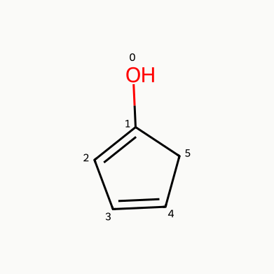 OC1=CC=CC1